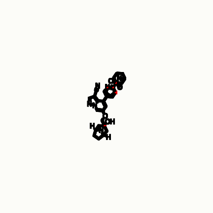 N#Cc1cnn2cc(OCCN3[C@@H]4CC[C@H]3C[C@@H](O)C4)cc(-c3ccc(N4CC5CC(C4)N5S(=O)(=O)N4CCCC4)nc3)c12